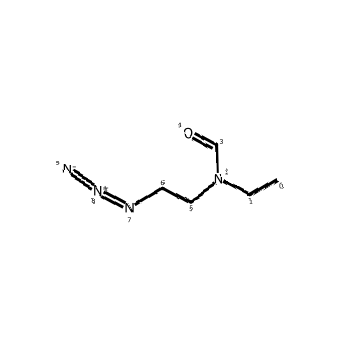 CCN(C=O)CCN=[N+]=[N-]